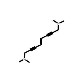 CN(C)CC#CC=CC#CCN(C)C